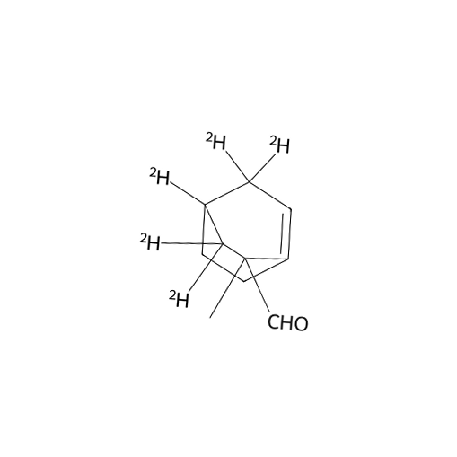 [2H]C1([2H])C=C2CCC1([2H])C([2H])([2H])C2(C)C=O